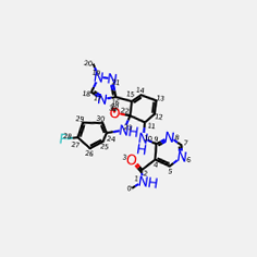 CNC(=O)c1cncnc1NC1C=CC=C(c2ncn(C)n2)C1(Nc1ccc(F)cc1)OC